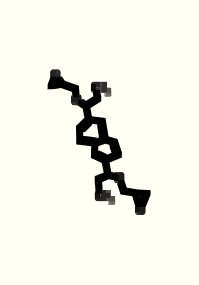 CCC(OCC1CO1)c1ccc2cc(C(CC)OCC3CO3)ccc2c1